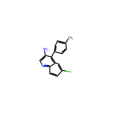 Cc1ccc(-c2c(N)cnc3ccc(Cl)cc23)cc1